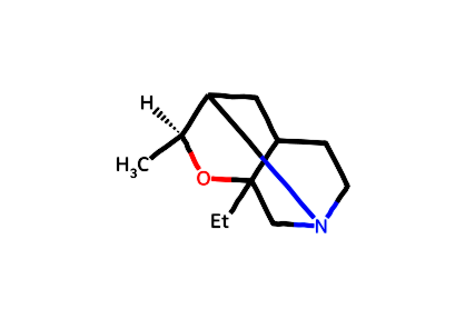 CCC12CN3CCC1CC3[C@H](C)O2